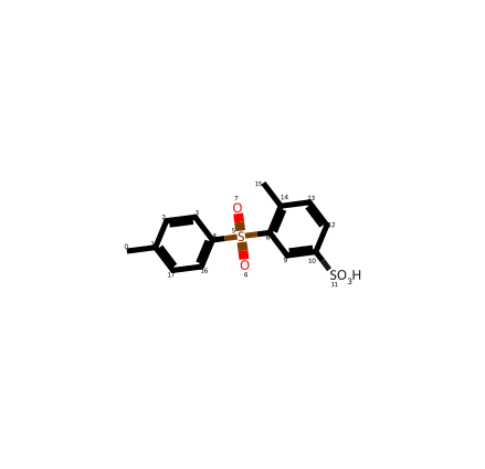 Cc1ccc(S(=O)(=O)c2cc(S(=O)(=O)O)ccc2C)cc1